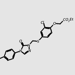 CCOC(=O)COc1ccc(SCn2ncn(-c3ccc(Br)cc3)c2=O)cc1Cl